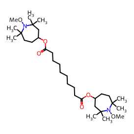 CON1C(C)(C)CCC(OC(=O)CCCCCCCCC(=O)OC2CCC(C)(C)N(OC)C(C)(C)C2)CC1(C)C